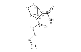 C=CCOC(=O)[C@@H]1C2CCC(C2)[C@H]1C(=O)O